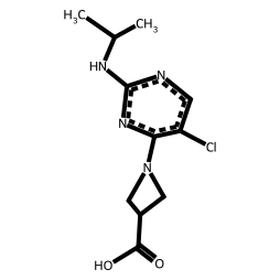 CC(C)Nc1ncc(Cl)c(N2CC(C(=O)O)C2)n1